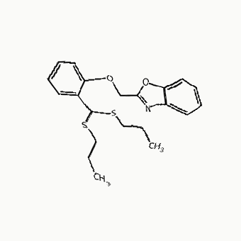 CCCSC(SCCC)c1ccccc1OCc1nc2ccccc2o1